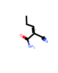 CC/C=C(/C#N)C(N)=O